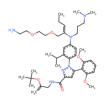 C=C(CNC(=O)c1cc(-c2c(OC)cccc2OC)n(-c2ccc(N(CCCN(C)C)/C(=C/CC)COCCOCCN)cc2C(C)C)n1)OC(C)(C)C